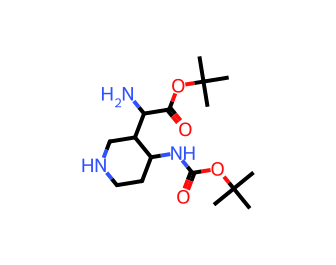 CC(C)(C)OC(=O)NC1CCNCC1C(N)C(=O)OC(C)(C)C